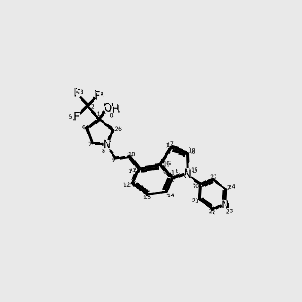 OC1(C(F)(F)F)CCN(CCc2cccc3c2ccn3-c2ccncc2)C1